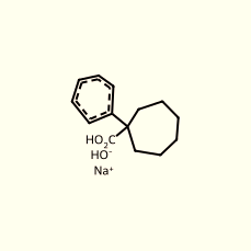 O=C(O)C1(c2ccccc2)CCCCCC1.[Na+].[OH-]